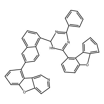 c1ccc(C2=NC(c3cccc4cc(-c5cccc6oc7ccncc7c56)ccc34)NC(c3cccc4oc5ccccc5c34)=N2)cc1